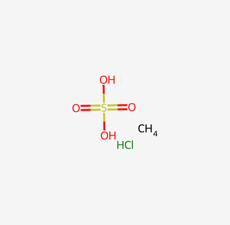 C.Cl.O=S(=O)(O)O